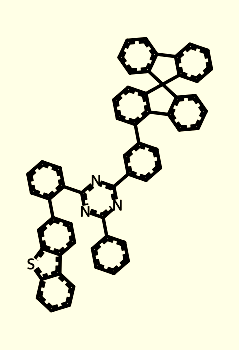 c1ccc(-c2nc(-c3cccc(-c4cccc5c4-c4ccccc4C54c5ccccc5-c5ccccc54)c3)nc(-c3ccccc3-c3ccc4c(c3)sc3ccccc34)n2)cc1